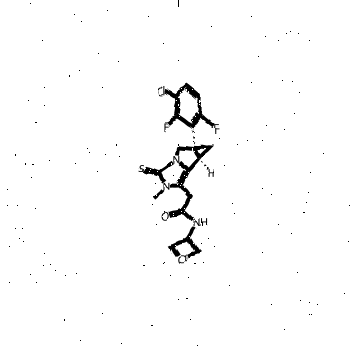 Cn1c(CC(=O)NC2COC2)c2n(c1=S)C[C@@]1(c3c(F)ccc(Cl)c3F)C[C@@H]21